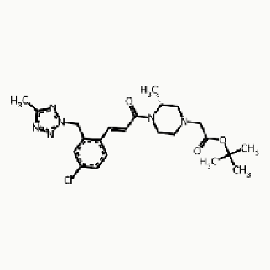 Cc1nnn(Cc2cc(Cl)ccc2/C=C/C(=O)N2CCN(CC(=O)OC(C)(C)C)C[C@H]2C)n1